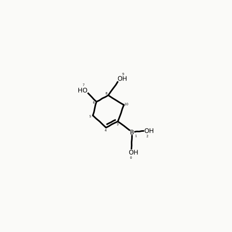 OB(O)C1=CCC(O)C(O)C1